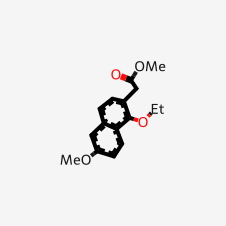 CCOc1c(CC(=O)OC)ccc2cc(OC)ccc12